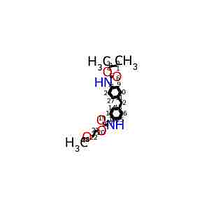 CCC(C)OC(=O)Nc1ccc(Cc2ccc(NC(=O)OCCOC)cc2)cc1